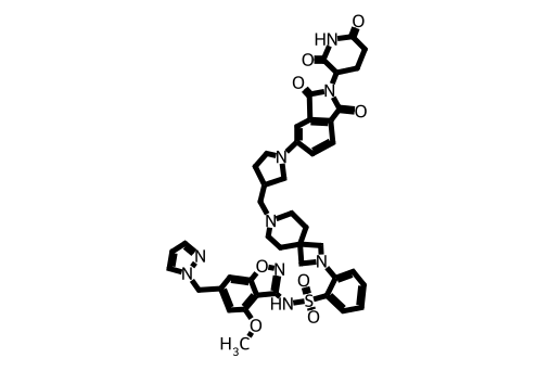 COc1cc(Cn2cccn2)cc2onc(NS(=O)(=O)c3ccccc3N3CC4(CCN(CC5CCN(c6ccc7c(c6)C(=O)N(C6CCC(=O)NC6=O)C7=O)C5)CC4)C3)c12